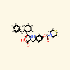 O=C(O)[C@H](Cc1ccc(OC(=O)N2CCSCC2)cc1)NC(=O)[C@H]1CCCC[C@@H]1Cc1ccccc1